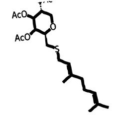 CC(=O)OC1C(OC(C)=O)[C@H](OC(C)=O)CO[C@H]1CSC/C=C(\C)CCC=C(C)C